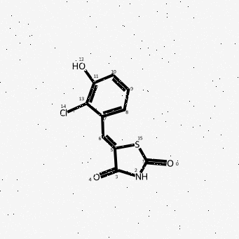 O=C1NC(=O)/C(=C/c2cccc(O)c2Cl)S1